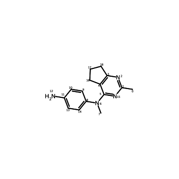 Cc1nc2c(c(N(C)c3ccc(N)cc3)n1)CCC2